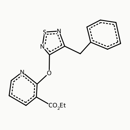 CCOC(=O)c1cccnc1Oc1nsnc1Cc1ccccc1